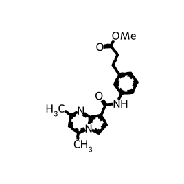 COC(=O)CCc1cccc(NC(=O)c2ccn3c(C)cc(C)nc23)c1